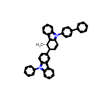 C[C@@H]1c2c(n(-c3ccc(-c4ccccc4)cc3)c3ccccc23)C=CC1c1ccc2c(c1)c1ccccc1n2-c1ccccc1